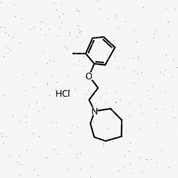 Cc1ccccc1OCCN1CCCCCC1.Cl